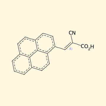 N#C/C(=C\c1ccc2ccc3cccc4ccc1c2c34)C(=O)O